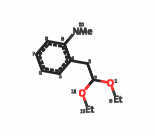 CCOC(Cc1ccccc1NC)OCC